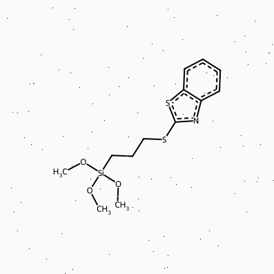 CO[Si](CCCSc1nc2ccccc2s1)(OC)OC